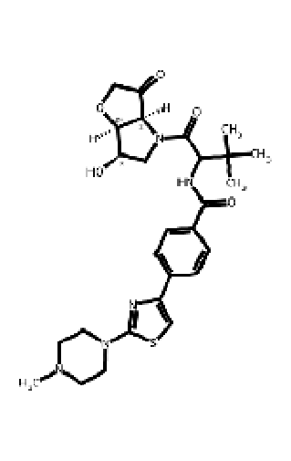 CN1CCN(c2nc(-c3ccc(C(=O)NC(C(=O)N4C[C@@H](O)[C@H]5OCC(=O)[C@H]54)C(C)(C)C)cc3)cs2)CC1